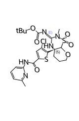 Cc1cccc(NC(=O)c2cc(Cl)c([C@]34CCCOC3S(=O)(=O)N(C)/C(=N/C(=O)OC(C)(C)C)N4)s2)n1